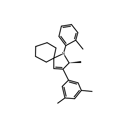 Cc1cc(C)cc(C2=CC3(CCCCC3)N(c3ccccc3C)[C@H]2C)c1